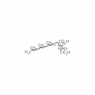 CCC(CC(=O)O)C(=O)N[C@@H](CSC/C=C(\C)CC/C=C(\C)CCC=C(C)C)C(=O)O